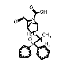 CC(C)(C)[Si](O[C@H]1CC2CC1C(C=O)N2C(=O)O)(c1ccccc1)c1ccccc1